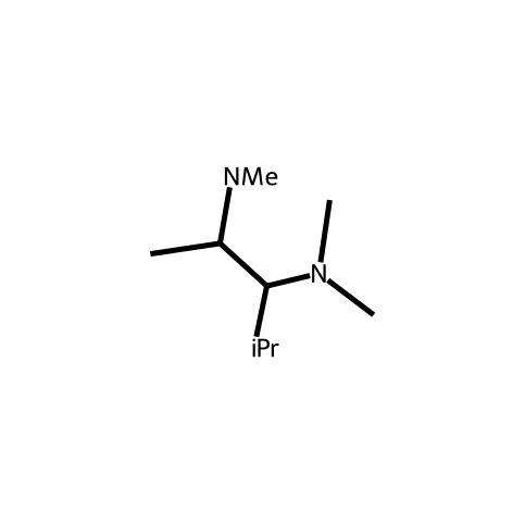 CNC(C)C(C(C)C)N(C)C